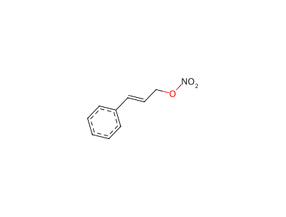 O=[N+]([O-])OCC=Cc1ccccc1